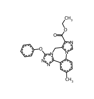 CCOC(=O)c1ncn2c1Cn1c(Oc3ccccc3)nnc1-c1cc(C)ccc1-2